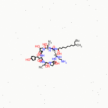 CCC(C)CC(C)CCCCCCCCC(=O)N[C@H]1C[C@@H](O)[C@@H](NCCN)NC(=O)[C@@H]2[C@@H](O)CCN2C(=O)[C@H]([C@H](O)CC#N)NC(=O)[C@H]([C@H](O)[C@@H](O)c2ccc(O)cc2)NC(=O)[C@@H]2C[C@@H](O)CN2C(=O)[C@H]([C@@H](C)O)NC1=O